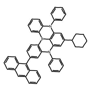 c1ccc(N2c3ccccc3B3c4ccc(-c5c6ccccc6cc6ccccc56)cc4N(c4ccccc4)c4cc(C5CCCCC5)cc2c43)cc1